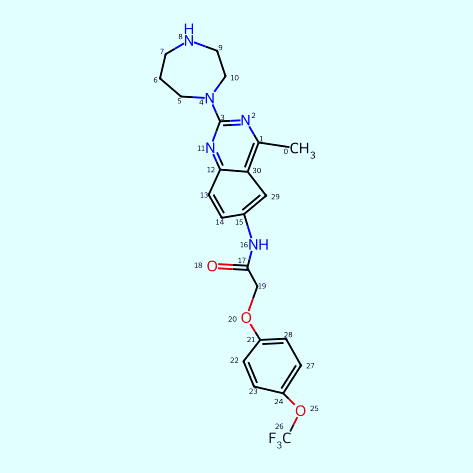 Cc1nc(N2CCCNCC2)nc2ccc(NC(=O)COc3ccc(OC(F)(F)F)cc3)cc12